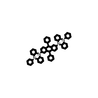 c1ccc(-c2c3ccc(N4c5ccccc5N(c5ccccc5)c5ccccc54)cc3c(-c3ccccc3)c3ccc(N4c5ccccc5N(c5ccccc5)c5ccccc54)cc23)cc1